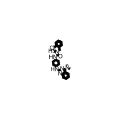 CN(C)c1nc(NC2CCC(NC(=O)N(S)Cc3ccccc3Cl)CC2)nc2ccccc12